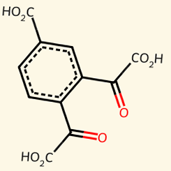 O=C(O)C(=O)c1ccc(C(=O)O)cc1C(=O)C(=O)O